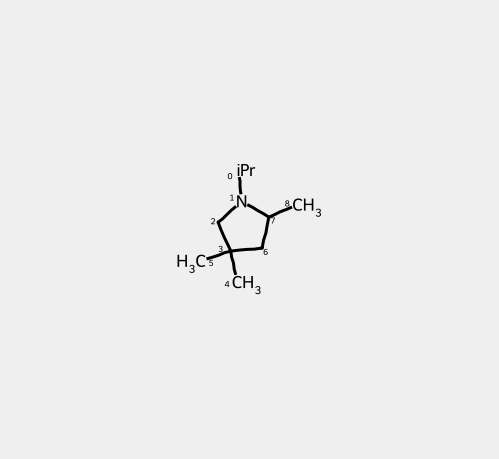 CC(C)N1CC(C)(C)CC1C